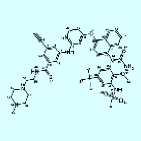 C#Cc1cc(Nc2cc(Oc3ccc(N(C(N)=O)c4cc(C(C)(C)C)cc(NS(C)(=O)=O)c4OC)c4ccccc34)ccn2)cc(C(=O)NCCN2CCN(C)CC2)c1